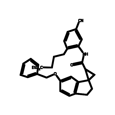 CCOC(=O)CCCc1ccc(C#N)cc1NC(=O)C1CC12CCc1ccc(OCc3ccccc3)cc12